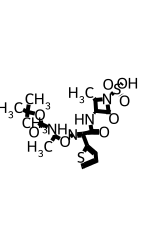 CC(NC(=O)OC(C)(C)C)O/N=C(/C(=O)N[C@@H]1C(=O)N(S(=O)(=O)O)C1C)c1cccs1